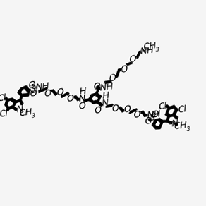 CNCCOCCOCCOCCNC(=O)c1cc(C(=O)NCCOCCOCCOCCNS(=O)(=O)c2cccc(C3CN(C)Cc4c(Cl)cc(Cl)cc43)c2)cc(C(=O)NCCOCCOCCOCCNS(=O)(=O)c2cccc(C3CN(C)Cc4c(Cl)cc(Cl)cc43)c2)c1